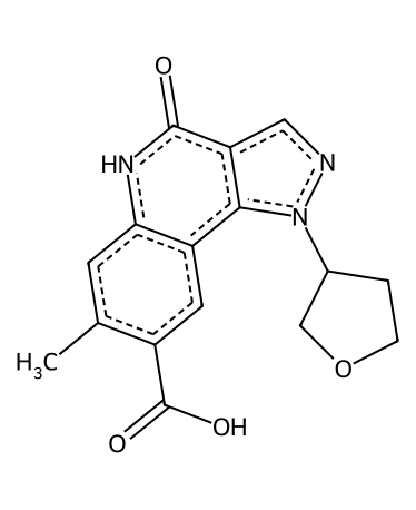 Cc1cc2[nH]c(=O)c3cnn(C4CCOC4)c3c2cc1C(=O)O